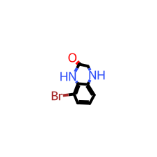 O=C1CNc2cccc(Br)c2N1